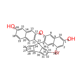 Oc1ccc2cc3c(cc2c1)Oc1cc2cc(O)ccc2cc1C31c2ccccc2-c2ccc(Br)cc21